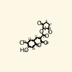 O=C(ON1C(=O)CCC1=O)c1cc2cc(Cl)c(O)cc2oc1=O